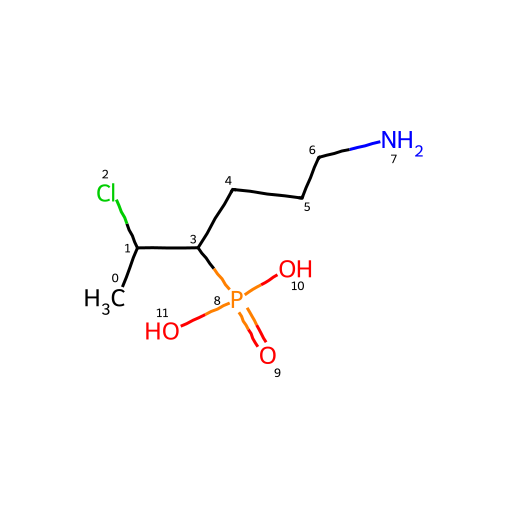 CC(Cl)C(CCCN)P(=O)(O)O